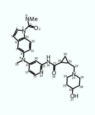 CNC(=O)n1ccc2cc(N(C)c3ccnc(NC(=O)C4CC4CN4CCC(O)CC4)c3)ccc21